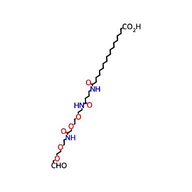 O=CCOCCOCCNC(=O)COCCOCCNC(=O)CCCNC(=O)CCCCCCCCCCCCCCCCC(=O)O